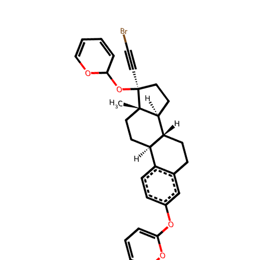 C[C@]12CC[C@@H]3c4ccc(OC5=CC=CCO5)cc4CC[C@H]3[C@@H]1CC[C@]2(C#CBr)OC1C=CC=CO1